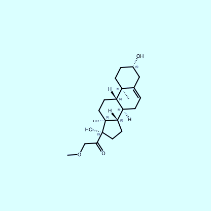 COCC(=O)[C@]1(O)CC[C@H]2[C@@H]3CC=C4C[C@@H](O)CC[C@]4(C)[C@H]3CC[C@@]21C